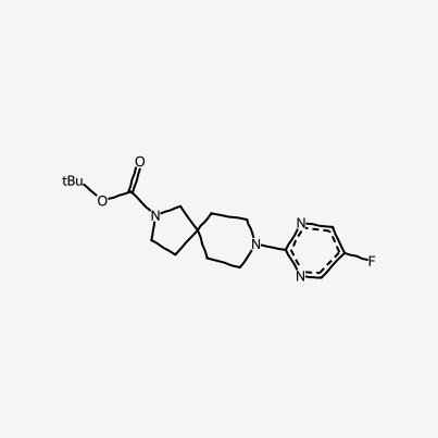 CC(C)(C)OC(=O)N1CCC2(CCN(c3ncc(F)cn3)CC2)C1